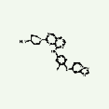 Cc1cc(Nc2ncnc3cnc(N4CCC(N)CC4)nc23)ccc1Oc1ccn2ncnc2c1